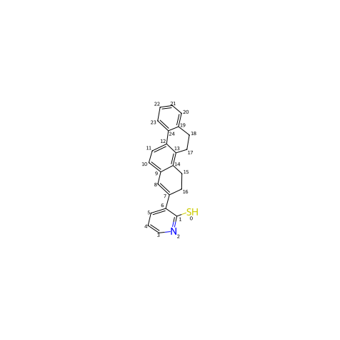 Sc1ncccc1C1=Cc2ccc3c(c2CC1)CCc1ccccc1-3